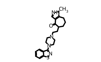 Cn1ncc2c1CCCC(CCN1CCN(c3nsc4ccccc34)CC1)C2=O